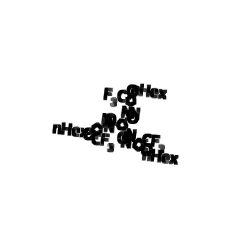 CCCCCCOc1ccc(-c2noc(-c3cc(-c4nc(-c5ccc(OCCCCCC)c(C(F)(F)F)c5)no4)cc(-c4nc(-c5ccc(OCCCCCC)c(C(F)(F)F)c5)no4)c3)n2)cc1C(F)(F)F